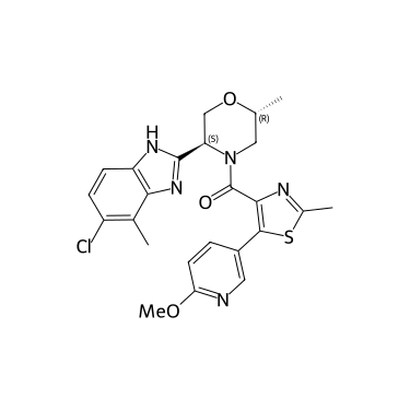 COc1ccc(-c2sc(C)nc2C(=O)N2C[C@@H](C)OC[C@@H]2c2nc3c(C)c(Cl)ccc3[nH]2)cn1